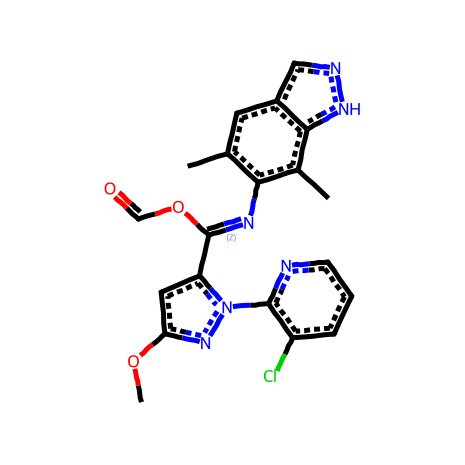 COc1cc(/C(=N/c2c(C)cc3cn[nH]c3c2C)OC=O)n(-c2ncccc2Cl)n1